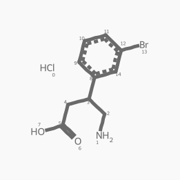 Cl.NCC(CC(=O)O)c1cccc(Br)c1